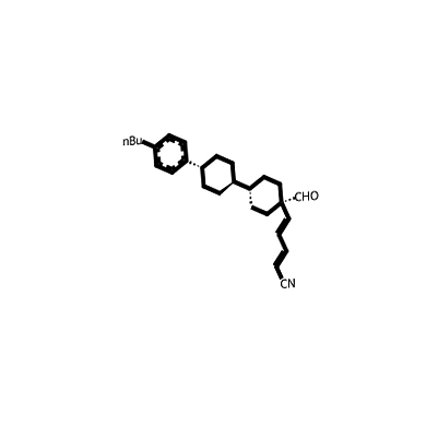 CCCCc1ccc([C@H]2CC[C@H]([C@H]3CC[C@](C=O)(C=CC=CC#N)CC3)CC2)cc1